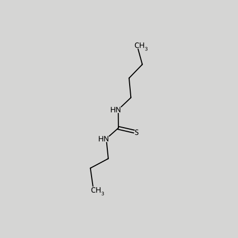 CCCCNC(=S)NCCC